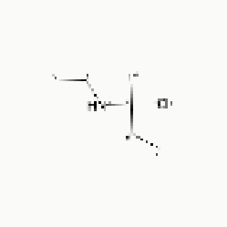 CCNC(C)(Cl)CC